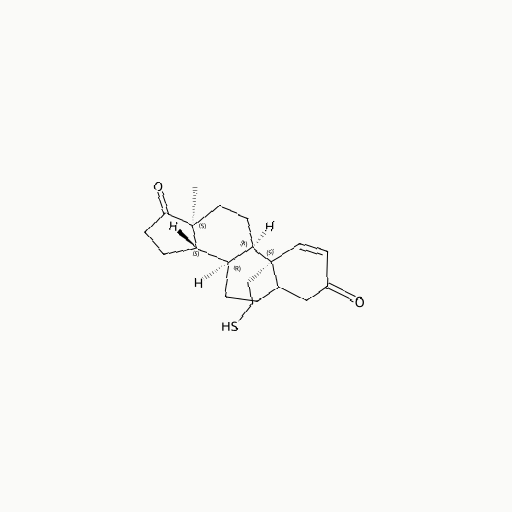 C[C@]12CC[C@@H]3[C@@H](CCC4CC(=O)C=C[C@@]43CCS)[C@@H]1CCC2=O